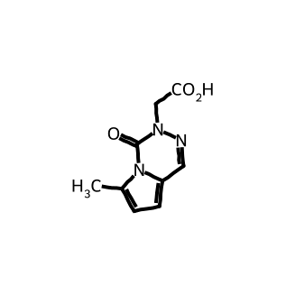 Cc1ccc2cnn(CC(=O)O)c(=O)n12